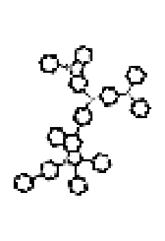 c1ccc(-c2ccc(-n3c(-c4ccccc4)c(-c4ccccc4)c4cc(-c5ccc(N(c6ccc(N(c7ccccc7)c7ccccc7)cc6)c6ccc7c(c6)c6ccccc6n7-c6ccccc6)cc5)c5ccccc5c43)cc2)cc1